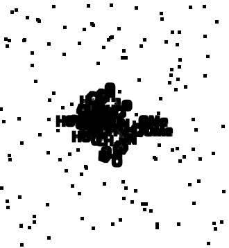 COc1cc2nc(N3CCN(C(=O)C4CCCO4)CC3)nc(N)c2cc1OC.C[C@@H]1C[C@H]2[C@@H]3CCC4=CC(=O)C=C[C@]4(C)[C@@]3(F)[C@@H](O)C[C@]2(C)[C@@]1(O)C(=O)CO.C[C@]12C=CC(=O)C=C1CC[C@@H]1[C@@H]2[C@@H](O)C[C@@]2(C)[C@H]1CC[C@]2(O)C(=O)CO